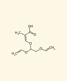 C=COCC(OC=C)OC=C(C)C(=O)O